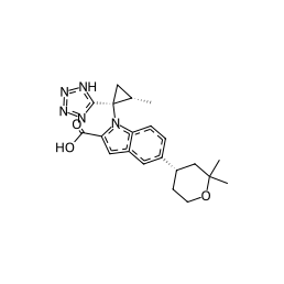 C[C@H]1C[C@]1(c1nnn[nH]1)n1c(C(=O)O)cc2cc([C@H]3CCOC(C)(C)C3)ccc21